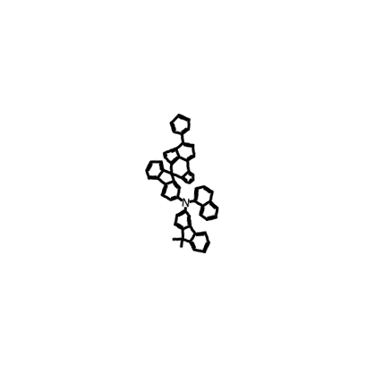 CC1(C)c2ccccc2-c2cc(N(c3ccc4c(c3)C3(c5ccccc5-4)c4ccccc4-c4ccc(-c5ccccc5)c5cccc3c45)c3cccc4ccccc34)ccc21